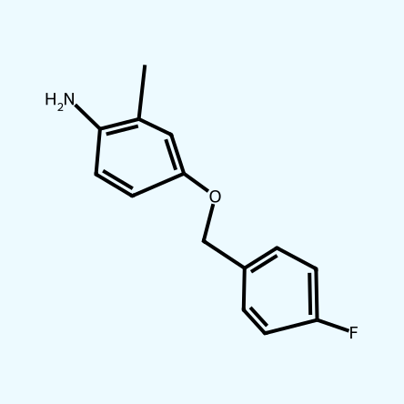 Cc1cc(OCc2ccc(F)cc2)ccc1N